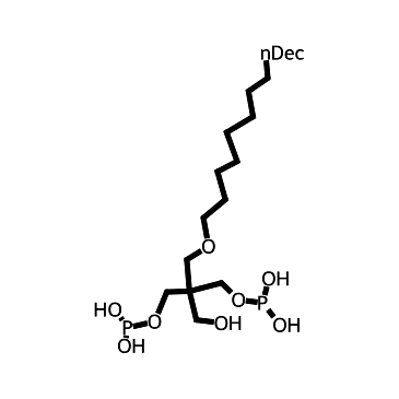 CCCCCCCCCCCCCCCCCCOCC(CO)(COP(O)O)COP(O)O